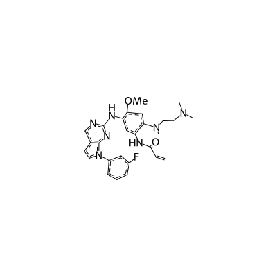 C=CC(=O)Nc1cc(Nc2ncc3ccn(-c4cccc(F)c4)c3n2)c(OC)cc1N(C)CCN(C)C